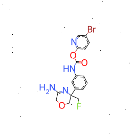 NC1=NC(CF)(c2cccc(NC(=O)Oc3ccc(Br)cn3)c2)COC1